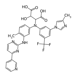 Cc1cn(-c2cc(N(c3ccc(C)c(Nc4nccc(-c5cccnc5)n4)c3)C(C(=O)O)C(O)C(=O)O)cc(C(F)(F)F)c2)cn1